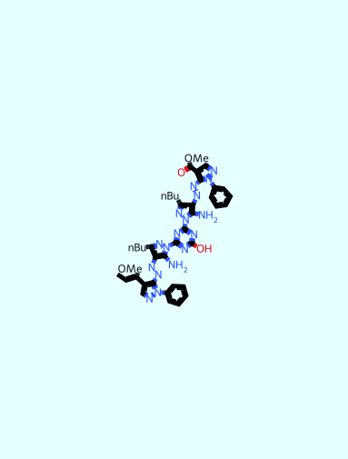 CC=C(OC)c1cnn(-c2ccccc2)c1/N=N/c1c(CCCC)nn(-c2nc(O)nc(-n3nc(CCCC)c(/N=N/c4c(C(=O)OC)cnn4-c4ccccc4)c3N)n2)c1N